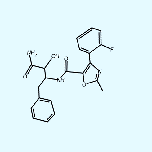 Cc1nc(-c2ccccc2F)c(C(=O)NC(Cc2ccccc2)C(O)C(N)=O)o1